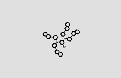 Brc1cc(N(c2cccc(-c3ccc4ccccc4c3)c2)c2cccc(-c3ccc4ccccc4c3)c2)cc(N(c2cccc(-c3ccc4ccccc4c3)c2)c2cccc(-c3ccc4ccccc4c3)c2)c1